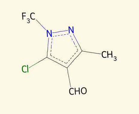 Cc1nn(C(F)(F)F)c(Cl)c1C=O